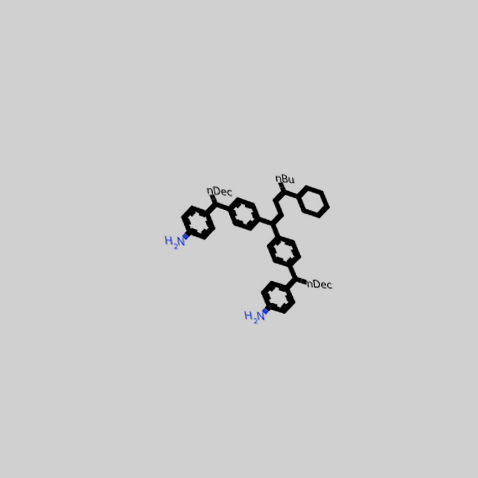 CCCCCCCCCCC(c1ccc(N)cc1)c1ccc(C(CCC(CCCC)C2CCCCC2)c2ccc(C(CCCCCCCCCC)c3ccc(N)cc3)cc2)cc1